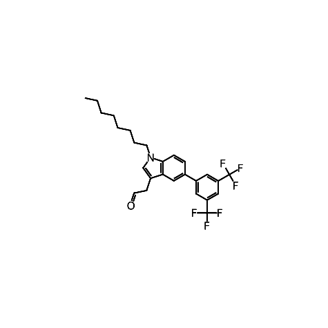 CCCCCCCCn1cc(CC=O)c2cc(-c3cc(C(F)(F)F)cc(C(F)(F)F)c3)ccc21